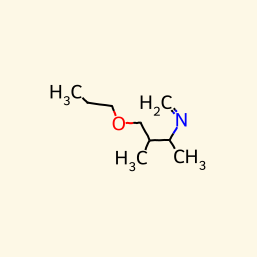 C=NC(C)C(C)COCCC